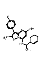 Cc1nn2c(NC(C)C3C=CCCC3)cc(C(C)(C)C)nc2c1-c1ccc(F)cc1